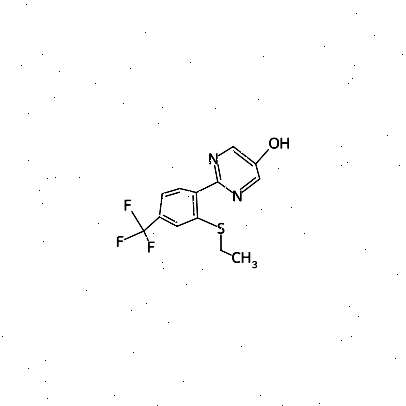 CCSc1cc(C(F)(F)F)ccc1-c1ncc(O)cn1